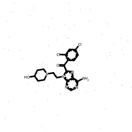 Nc1ncnc2c1nc(C(=O)c1ccc(Cl)cc1Cl)n2CCN1CCC(O)CC1